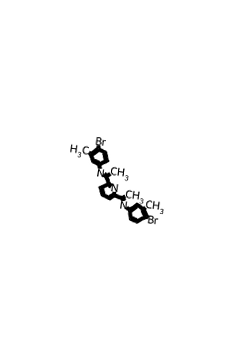 C/C(=N\c1ccc(Br)c(C)c1)c1cccc(/C(C)=N/c2ccc(Br)c(C)c2)n1